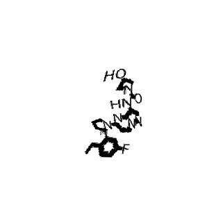 CCc1ccc(F)cc1[C@H]1CCCN1c1ccn2ncc(NC(=O)N3CC(O)C3)c2n1